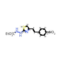 CCOC(=O)NNc1nc(C=Cc2ccc([N+](=O)[O-])cc2)cs1